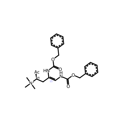 CC(=O)[C@@H](C/C(=C/NC(=O)OCc1ccccc1)NC(=O)OCc1ccccc1)[N+](C)(C)C